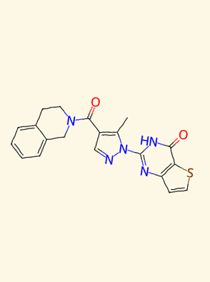 Cc1c(C(=O)N2CCc3ccccc3C2)cnn1-c1nc2ccsc2c(=O)[nH]1